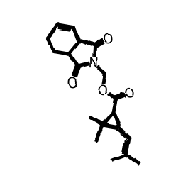 CC(C)=CC1C(C(=O)OCN2C(=O)C3C=CCCC3C2=O)C1(C)C